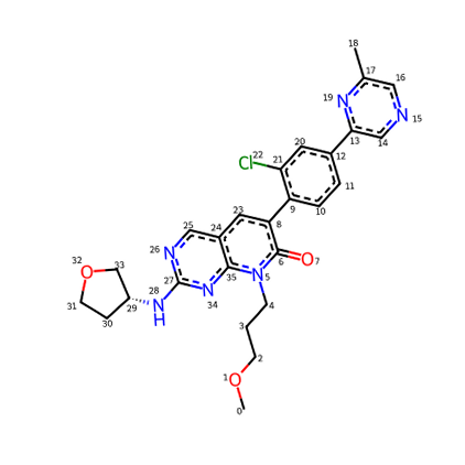 COCCCn1c(=O)c(-c2ccc(-c3cncc(C)n3)cc2Cl)cc2cnc(N[C@@H]3CCOC3)nc21